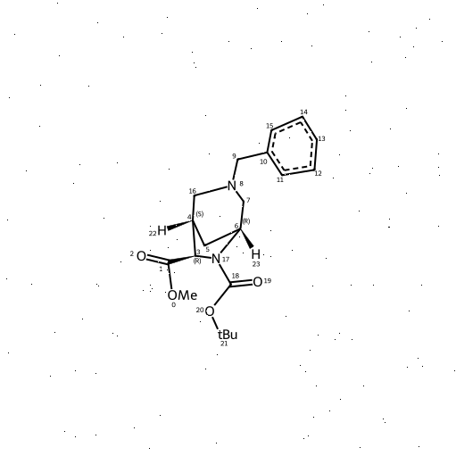 COC(=O)[C@H]1[C@H]2C[C@H](CN(Cc3ccccc3)C2)N1C(=O)OC(C)(C)C